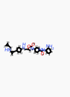 Nc1ccccc1NC(=O)c1ccc(N2CC(CNc3ccc(C4C[C@H]4NCC4CC4)cc3)OC2=O)cc1